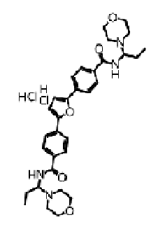 CCC(NC(=O)c1ccc(-c2ccc(-c3ccc(C(=O)NC(CC)N4CCOCC4)cc3)o2)cc1)N1CCOCC1.Cl.Cl